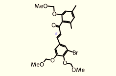 COCOc1cc(/C=C/C(=O)c2c(C)cc(C)cc2OCOC)cc(Br)c1OCOC